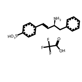 N[C@H](C=Cc1ccc(S(=O)(=O)O)cc1)Cc1ccccc1.O=C(O)C(F)(F)F